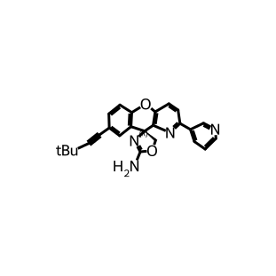 CC(C)(C)C#Cc1ccc2c(c1)[C@]1(COC(N)=N1)c1nc(-c3cccnc3)ccc1O2